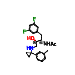 CC(=O)N[C@@H](Cc1cc(F)cc(F)c1)[C@H](O)CNC1(c2cccc(C)c2)CC1